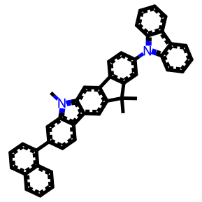 Cn1c2cc(-c3cccc4ccccc34)ccc2c2cc3c(cc21)-c1ccc(-n2c4ccccc4c4ccccc42)cc1C3(C)C